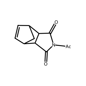 CC(=O)N1C(=O)C2C3C=CC(C3)C2C1=O